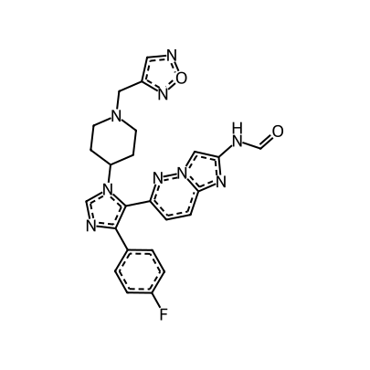 O=CNc1cn2nc(-c3c(-c4ccc(F)cc4)ncn3C3CCN(Cc4cnon4)CC3)ccc2n1